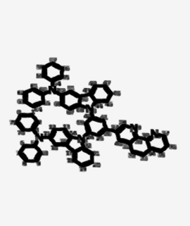 c1ccc(N(c2ccccc2)c2ccc3c(c2)c2ccccc2n3-c2cc(-c3cnc4c(ccc5cccnc54)c3)cc(-n3c4ccccc4c4cc(N(c5ccccc5)c5ccccc5)ccc43)c2)cc1